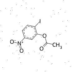 CC(=O)Oc1cc([N+](=O)[O-])ccc1I